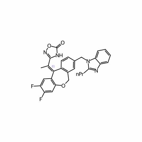 CCCc1nc2ccccc2n1Cc1ccc2c(c1)COc1cc(F)c(F)cc1/C2=C(\C)c1noc(=O)[nH]1